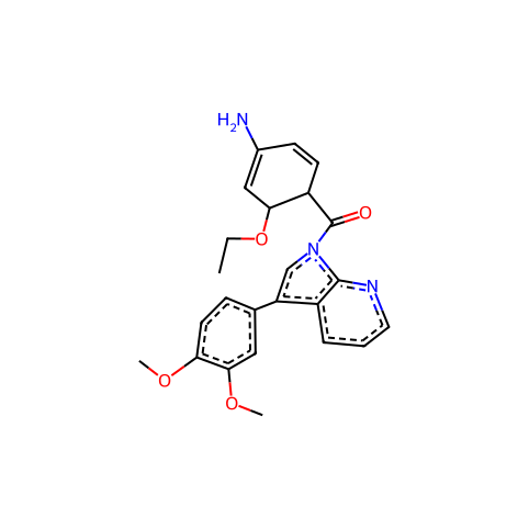 CCOC1C=C(N)C=CC1C(=O)n1cc(-c2ccc(OC)c(OC)c2)c2cccnc21